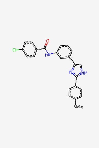 COc1ccc(-c2nc(-c3cccc(NC(=O)c4ccc(Cl)cc4)c3)c[nH]2)cc1